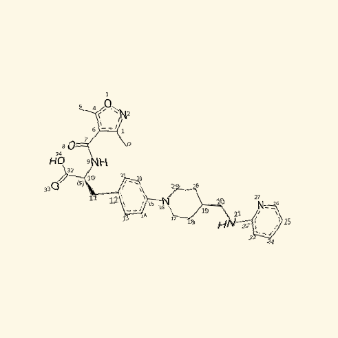 Cc1noc(C)c1C(=O)N[C@@H](Cc1ccc(N2CCC(CNc3ccccn3)CC2)cc1)C(=O)O